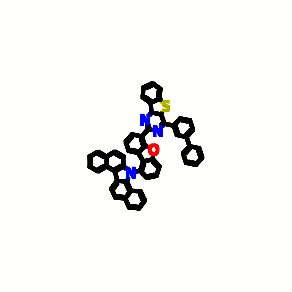 c1ccc(-c2cccc(C3=NC(c4cccc5c4oc4cccc(-n6c7ccc8ccccc8c7c7ccc8ccccc8c76)c45)=NC4c5ccccc5SC34)c2)cc1